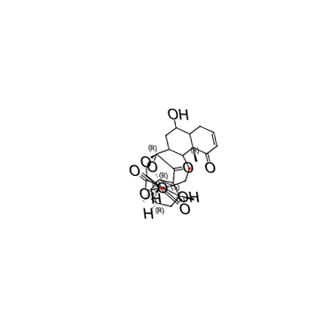 C[C@]12C(=O)C=CCC1C(O)CC1C2CC[C@@]2(O)C(=O)O[C@@]3(C)[C@H]4C[C@@]5(C)C6C(=O)[C@]1(OC[C@H]5C(=O)O4)O[C@]623